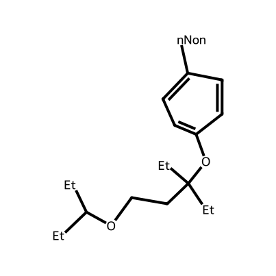 CCCCCCCCCc1ccc(OC(CC)(CC)CCOC(CC)CC)cc1